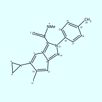 CNC(=O)c1c2cc(C3CC3)c(I)cc2nn1-c1ccc(C)cc1